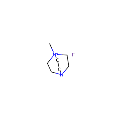 C[N+]12CCN(CC1)CC2.[I-]